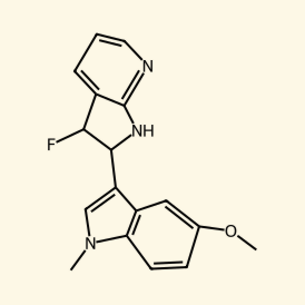 COc1ccc2c(c1)c(C1Nc3ncccc3C1F)cn2C